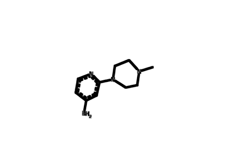 Bc1ccnc(N2CCN(C)CC2)c1